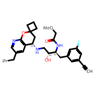 C#Cc1cc(F)cc(C[C@H](NC(=O)COC)[C@H](O)CN[C@H]2CC3(CCC3)Oc3ncc(CC(C)C)cc32)c1